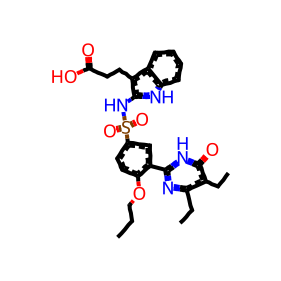 CCCOc1ccc(S(=O)(=O)Nc2[nH]c3ccccc3c2CCC(=O)O)cc1-c1nc(CC)c(CC)c(=O)[nH]1